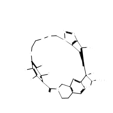 Cc1c2ccc3c1nnn3CCCCCCc1c(F)c(F)c(c(F)c1F)C(=O)N1CCc3ccc(cc3C1)[C@H]2[C@H](C)C(=O)O